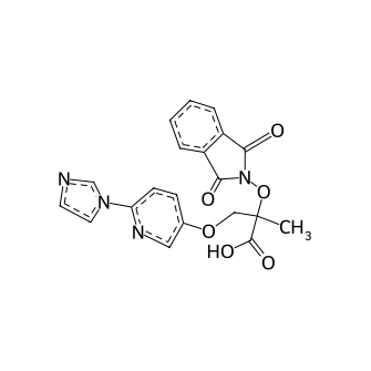 CC(COc1ccc(-n2ccnc2)nc1)(ON1C(=O)c2ccccc2C1=O)C(=O)O